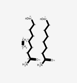 C=C.CCCCCCCCCCCCCCCCC(N)=O.CCCCCCCCCCCCCCCCC(N)=O